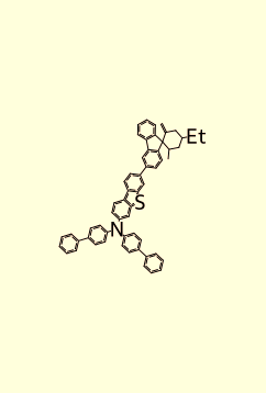 C=C1CC(CC)CC(C)C12c1ccccc1-c1cc(-c3ccc4c(c3)sc3cc(N(c5ccc(-c6ccccc6)cc5)c5ccc(-c6ccccc6)cc5)ccc34)ccc12